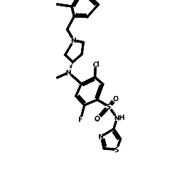 Cc1ccccc1CN1CC[C@H](N(C)c2cc(F)c(S(=O)(=O)Nc3cscn3)cc2Cl)C1